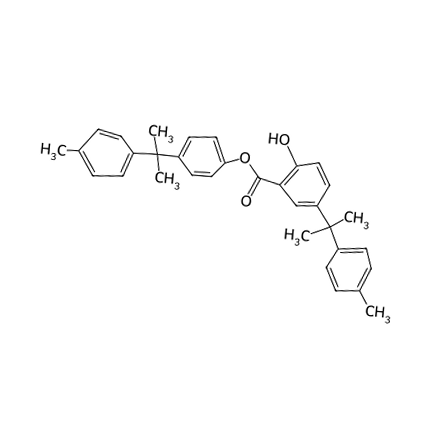 Cc1ccc(C(C)(C)c2ccc(OC(=O)c3cc(C(C)(C)c4ccc(C)cc4)ccc3O)cc2)cc1